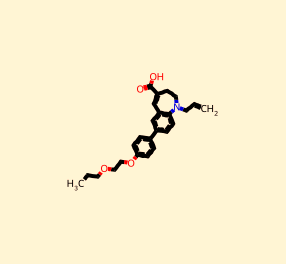 C=CCN1CCC(C(=O)O)=Cc2cc(-c3ccc(OCCOCCC)cc3)ccc21